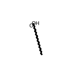 CCCC=CCCC=CCCC=CCCC=CCCC(=O)O